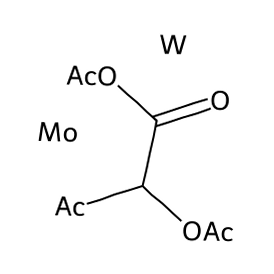 CC(=O)OC(=O)C(OC(C)=O)C(C)=O.[Mo].[W]